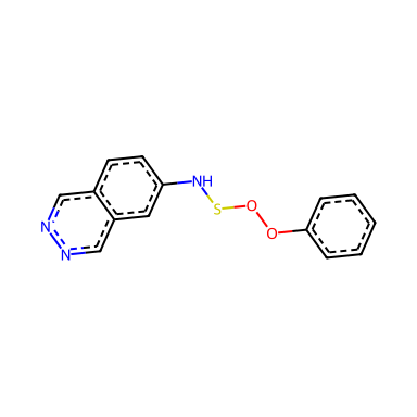 c1ccc(OOSNc2ccc3cnncc3c2)cc1